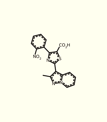 Cc1nn2ccccc2c1-c1nc(-c2ccccc2[N+](=O)[O-])c(C(=O)O)s1